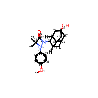 COc1ccc(N2N(C3[C@H]4CC5C[C@H]3CC(O)(C5)C4)C(=O)C2(C)C)cc1